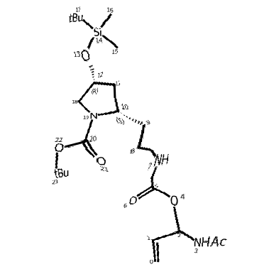 C=CC(NC(C)=O)OC(=O)NCC[C@H]1C[C@@H](O[Si](C)(C)C(C)(C)C)CN1C(=O)OC(C)(C)C